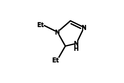 CCC1NN=CN1CC